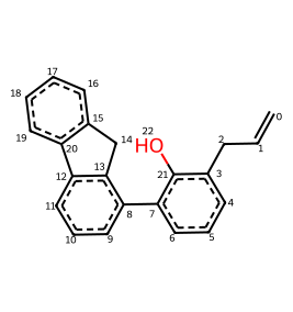 C=CCc1cccc(-c2cccc3c2Cc2ccccc2-3)c1O